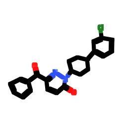 O=C(c1ccccc1)c1ccc(=O)n(C2CC[C](c3cccc(Cl)c3)CC2)n1